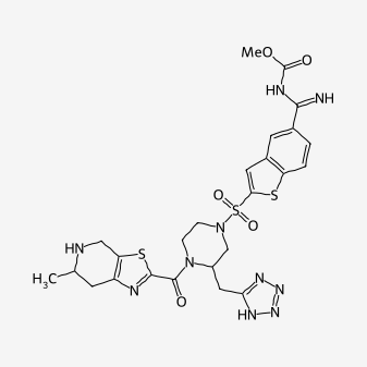 COC(=O)NC(=N)c1ccc2sc(S(=O)(=O)N3CCN(C(=O)c4nc5c(s4)CNC(C)C5)C(Cc4nnn[nH]4)C3)cc2c1